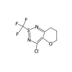 FC(F)(F)S1=NC(Cl)=C2OCCCC2=N1